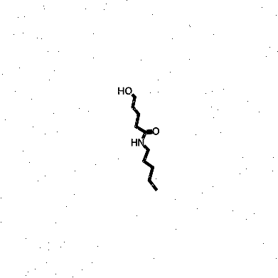 CCCCCNC(=O)CCCCO